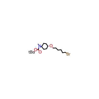 CN(C(=O)OC(C)(C)C)[C@H]1CC[C@H](OCCCCCCBr)CC1